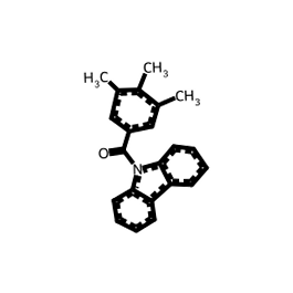 Cc1cc(C(=O)n2c3ccccc3c3ccccc32)cc(C)c1C